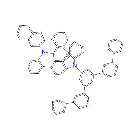 c1ccc(-c2cccc(-c3cc(-c4cccc(-c5ccccc5)c4)cc(-n4c5ccccc5c5cc(-c6ccccc6N(c6ccc7ccccc7c6)c6cccc7ccccc67)ccc54)c3)c2)cc1